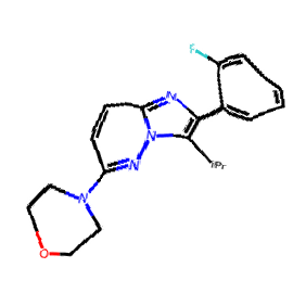 CC(C)c1c(-c2ccccc2F)nc2ccc(N3CCOCC3)nn12